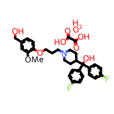 COc1cc(CO)ccc1OCCCN1CCC(C(O)(c2ccc(F)cc2)c2ccc(F)cc2)CC1.O.O=C(O)C(=O)O